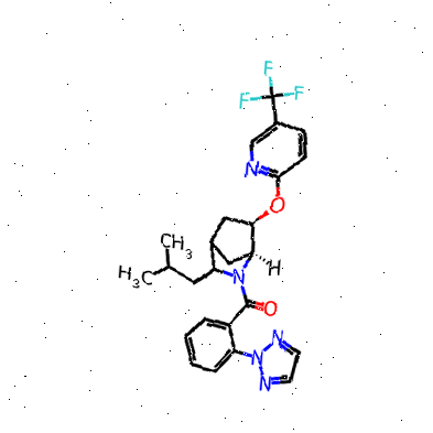 CC(C)CC1C2C[C@@H](Oc3ccc(C(F)(F)F)cn3)[C@H](C2)N1C(=O)c1ccccc1-n1nccn1